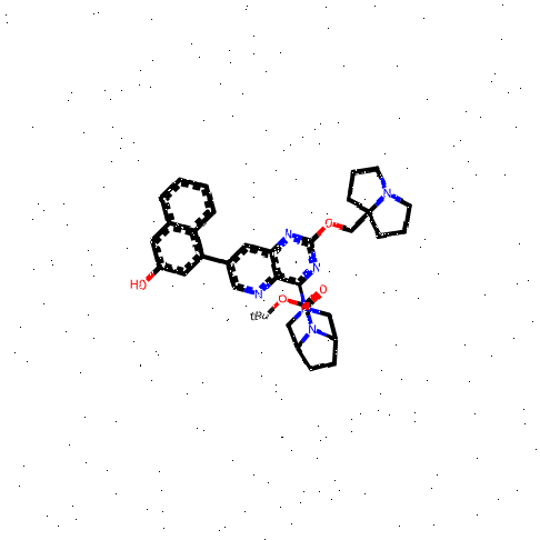 CC(C)(C)OC(=O)N1C2CCC1CN(c1nc(OCC34CCCN3CCC4)nc3cc(-c4cc(O)cc5ccccc45)cnc13)C2